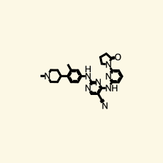 Cc1cc(Nc2ncc(C#N)c(Nc3cccc(N4CCCC4=O)n3)n2)ccc1C1CCN(C)CC1